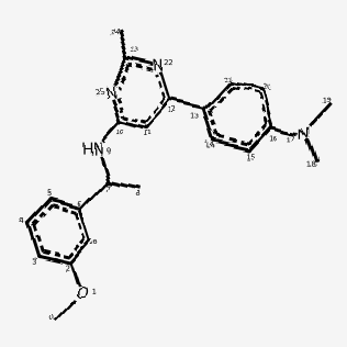 COc1cccc(C(C)Nc2cc(-c3ccc(N(C)C)cc3)nc(C)n2)c1